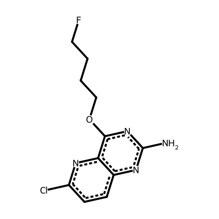 Nc1nc(OCCCCF)c2nc(Cl)ccc2n1